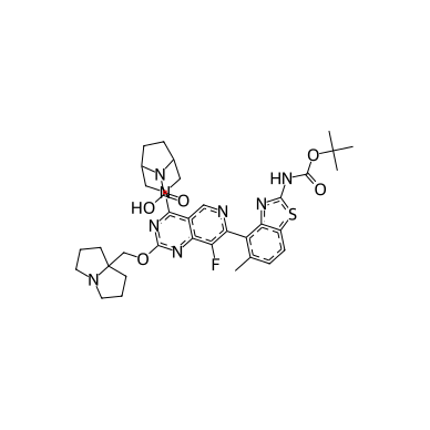 Cc1ccc2sc(NC(=O)OC(C)(C)C)nc2c1-c1ncc2c(N3CC4CCC(C3)N4C(=O)O)nc(OCC34CCCN3CCC4)nc2c1F